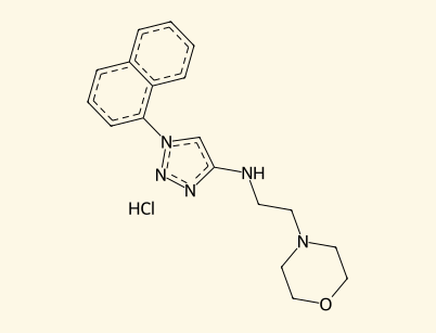 Cl.c1ccc2c(-n3cc(NCCN4CCOCC4)nn3)cccc2c1